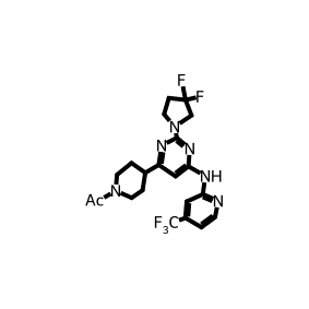 CC(=O)N1CCC(c2cc(Nc3cc(C(F)(F)F)ccn3)nc(N3CCC(F)(F)C3)n2)CC1